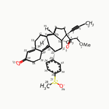 CC#C[C@]1(C(=O)COC)CC[C@H]2[C@@H]3CCC4=CC(=O)CCC4=C3[C@@H](c3ccc([S+](C)[O-])cc3)C[C@@]21C